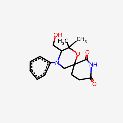 CC1(C)OC2(CCC(=O)NC2=O)CN(c2ccccc2)C1CO